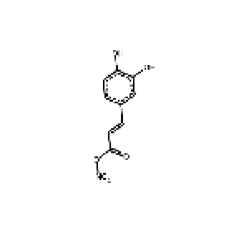 O=C(/C=C/c1ccc(O)c(O)c1)O[N+](=O)[O-]